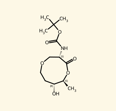 C[C@@H]1OC(=O)[C@@H](NC(=O)OC(C)(C)C)COCC[C@H]1O